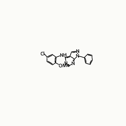 COc1ccc(Cl)cc1Nc1ncnc2c1cnn2-c1ccccc1